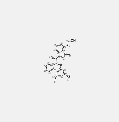 COc1cc(NC(C(=O)c2cn(C)c3c(CCO)cccc23)c2ccccc2)cc(OC)c1